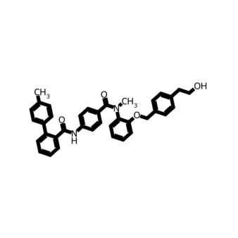 Cc1ccc(-c2ccccc2C(=O)Nc2ccc(C(=O)N(C)c3ccccc3OCc3ccc(CCO)cc3)cc2)cc1